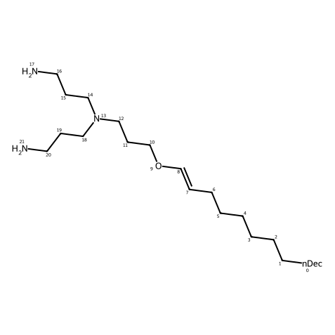 CCCCCCCCCCCCCCCCC=COCCCN(CCCN)CCCN